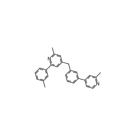 Cc1cccc(-c2cc(Cc3cccc(-c4ccnc(C)c4)c3)cc(C)n2)c1